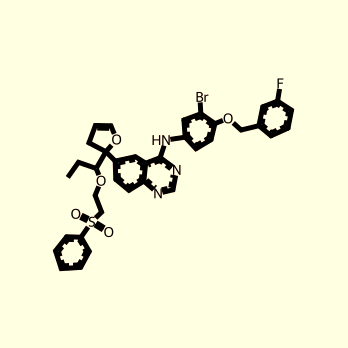 CCC(OCCS(=O)(=O)c1ccccc1)C1(c2ccc3ncnc(Nc4ccc(OCc5cccc(F)c5)c(Br)c4)c3c2)CC=CO1